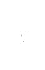 NC(=O)c1cn(CCF)c(=O)n(-c2ccc(F)cc2)c1=O